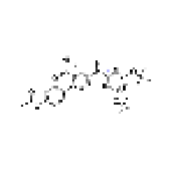 CC(=O)Oc1ccc(-c2ccc(N/C(=N/C(=O)OC(C)(C)C)NC(=O)OC(C)(C)C)cc2C(N)=O)cc1